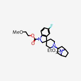 CCOC(=O)N1C2CCC1CC(N1CCC3(CC1)CN(C(=O)OCCOC)c1ccc(F)cc13)C2